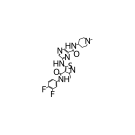 Cc1nsc(Nc2cncc(C(=O)NC3CCN(C)CC3)n2)c1C(=O)Nc1ccc(F)c(F)c1